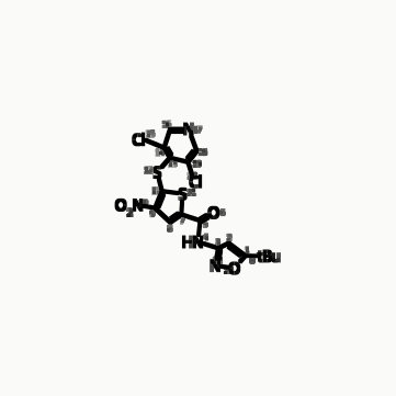 CC(C)(C)c1cc(NC(=O)c2cc([N+](=O)[O-])c(Sc3c(Cl)cncc3Cl)s2)no1